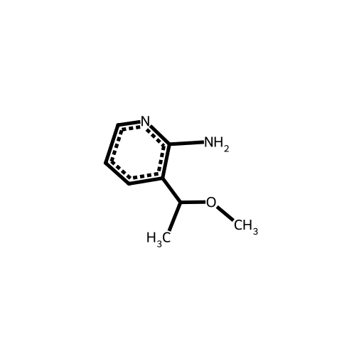 COC(C)c1cccnc1N